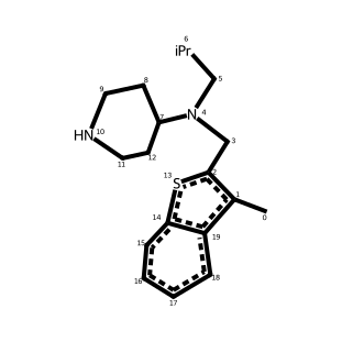 Cc1c(CN(CC(C)C)C2CCNCC2)sc2ccccc12